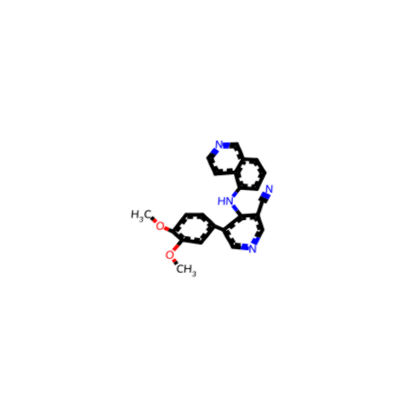 COc1ccc(-c2cncc(C#N)c2Nc2cccc3cnccc23)cc1OC